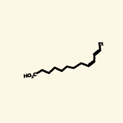 CC/C=C/C=C\CCCCCCCC(=O)O